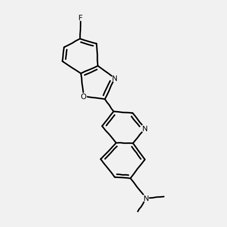 CN(C)c1ccc2cc(-c3nc4cc(F)ccc4o3)cnc2c1